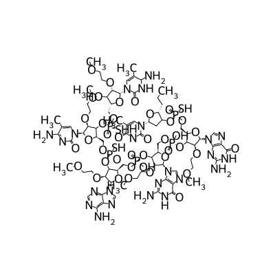 CCC[C@H]1O[C@@H](n2cc(C)c(=O)[nH]c2=O)CC1OP(=O)(S)OC[C@H]1O[C@@H](n2cnc3c(=O)[nH]c(N)nc32)[C@@H](OCCOC)C1OP(=O)(O)OC[C@H]1O[C@@H](n2cnc3c(=O)[nH]c(N)nc32)[C@@H](OCCOC)C1OP(=O)(O)OC[C@H]1O[C@@H](n2cnc3c(N)ncnc32)[C@@H](OCCOC)C1OP(=O)(S)OC[C@H]1O[C@@H](n2cc(C)c(N)nc2=O)[C@@H](OCCOC)C1OP(=O)(S)OC[C@H]1O[C@@H](N2C=C(C)C(N)NC2=O)[C@@H](OCCOC)C1O